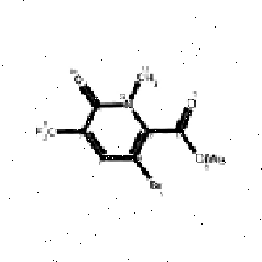 COC(=O)c1c(Br)cc(C(F)(F)F)c(=O)n1C